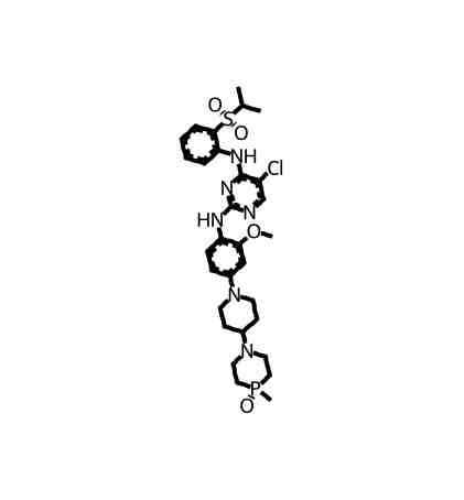 COc1cc(N2CCC(N3CCP(C)(=O)CC3)CC2)ccc1Nc1ncc(Cl)c(Nc2ccccc2S(=O)(=O)C(C)C)n1